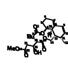 CC[C@H](C)C(=O)O[C@H]1CCC=C2C=C[C@H](C)[C@H](COC(=O)C[C@@H](O)CC(=O)OC)[C@H]21